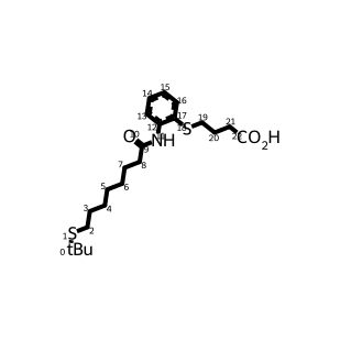 CC(C)(C)SCCCCCCCC(=O)Nc1ccccc1SCCCC(=O)O